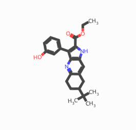 CCOC(=O)c1[nH]c2cc3c(nc2c1-c1cccc(O)c1)CCC(C(C)(C)C)C3